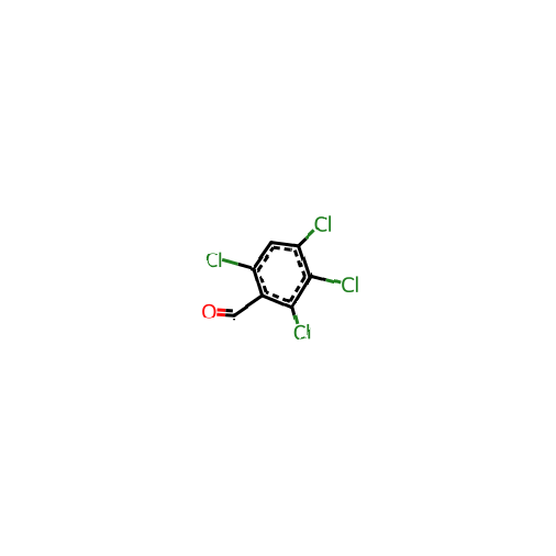 O=[C]c1c(Cl)cc(Cl)c(Cl)c1Cl